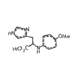 COc1ccc(NC(Cc2c[nH]cn2)C(=O)O)cc1